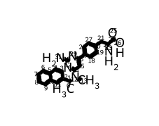 C[C@H](c1ccc2ccccc2c1)N(C)c1cc(-c2ccc(C[C@H](N)C(=O)O)cc2)nc(N)n1